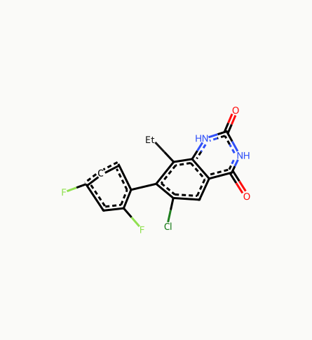 CCc1c(-c2ccc(F)cc2F)c(Cl)cc2c(=O)[nH]c(=O)[nH]c12